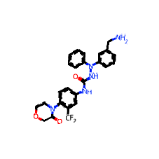 NCc1cccc(N(NC(=O)Nc2ccc(N3CCOCC3=O)c(C(F)(F)F)c2)c2ccccc2)c1